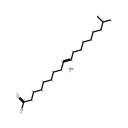 CC(C)CCCCCCC=CCCCCCCCC(=O)[O-].[Na+]